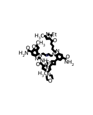 CCn1nc(C)cc1C(=O)CCCc1nc2cc(C(N)=O)cc(C3CC(CCCN4CCOCC4)C3)c2n1C/C=C/Cn1c(NC(=O)c2cc(C)nn2CC)nc2cc(C(N)=O)c3oc(C)cc3c21